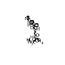 CC(C)(C)C(C=O)NC(=O)CCCNC(=O)C1(Cc2cccc(Nc3nccs3)n2)CCCCC1